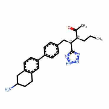 CCC[C@H](C(C)=O)[C@H](Cc1ccc(-c2ccc3c(c2)CCC(N)C3)cc1)c1nn[nH]n1